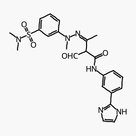 C/C(=N/N(C)c1cccc(S(=O)(=O)N(C)C)c1)C(C=O)C(=O)Nc1cccc(-c2ncc[nH]2)c1